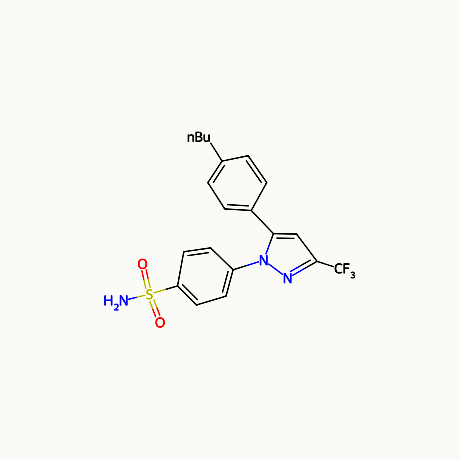 CCCCc1ccc(-c2cc(C(F)(F)F)nn2-c2ccc(S(N)(=O)=O)cc2)cc1